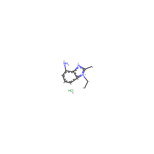 CCn1c(C)nc2c(N)cccc21.Cl